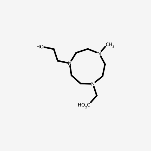 CN1CCN(CCO)CCN(CC(=O)O)CC1